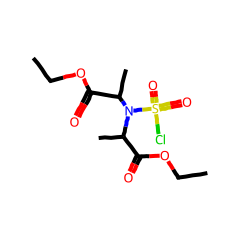 CCOC(=O)C(C)N(C(C)C(=O)OCC)S(=O)(=O)Cl